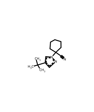 CC(C)(C)c1cnn(C2(C#N)CCCCC2)c1